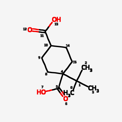 CC(C)(C)C1(C(=O)O)CCC(C(=O)O)CC1